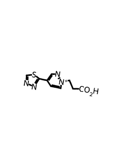 O=C(O)CC[n+]1ccc(-c2nncs2)cn1